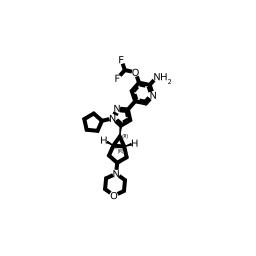 Nc1ncc(-c2cc([C@H]3[C@@H]4CC(N5CCOCC5)C[C@@H]43)n(C3CCCC3)n2)cc1OC(F)F